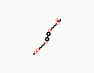 C=COCOCCCCCCOc1ccc(-c2ccc(OCCCCCCOC(=O)C=C)cc2)cc1